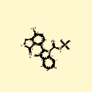 CC(C)(C)OC(=O)n1c(-c2ccc(Cl)c3c2C(=O)NC3)c(I)c2ccccc21